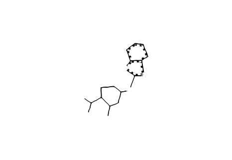 CC(C)C1CCC(Oc2nc3ccccc3s2)CC1C